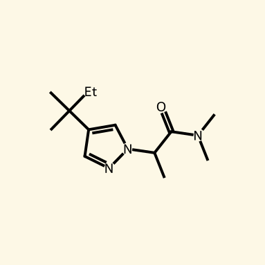 CCC(C)(C)c1cnn(C(C)C(=O)N(C)C)c1